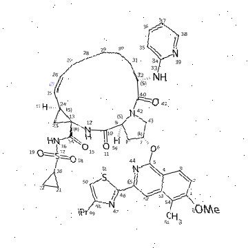 COc1ccc2c(O[C@@H]3C[C@H]4C(=O)N[C@]5(C(=O)NS(=O)(=O)C6CC6)C[C@H]5/C=C\CCCCC[C@H](Nc5ccccn5)C(=O)N4C3)nc(-c3nc(C(C)C)cs3)cc2c1C